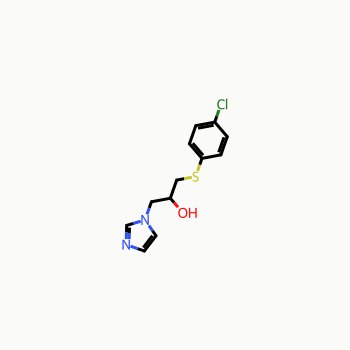 OC(CSc1ccc(Cl)cc1)Cn1ccnc1